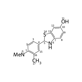 CNc1ccc(C2Nc3ccc(O)cc3S2)cc1C